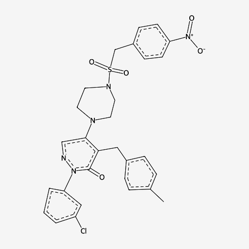 Cc1ccc(Cc2c(N3CCN(S(=O)(=O)Cc4ccc([N+](=O)[O-])cc4)CC3)cnn(-c3cccc(Cl)c3)c2=O)cc1